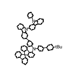 CC(C)(C)c1ccc(-c2ccc(N(c3ccc(-c4ccc5c6ccccc6n(-c6ccc7c8ccccc8n(-c8ccccc8)c7c6)c5c4)cc3)c3cccc4c3-c3ccccc3C43c4ccccc4-c4ccccc43)cc2)cc1